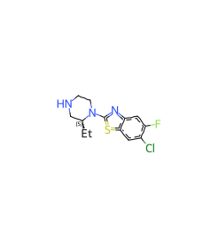 CC[C@H]1CNCCN1c1nc2cc(F)c(Cl)cc2s1